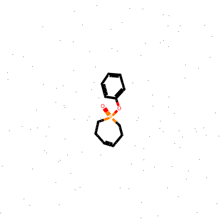 O=P1(Oc2ccccc2)CCC=CCC1